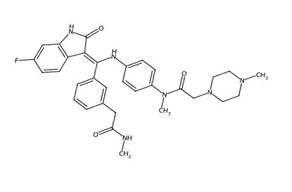 CNC(=O)Cc1cccc(/C(Nc2ccc(N(C)C(=O)CN3CCN(C)CC3)cc2)=C2/C(=O)Nc3cc(F)ccc32)c1